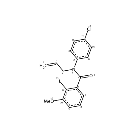 C=CCN(C(=O)c1cccc(OC)c1I)c1ccc(Cl)cc1